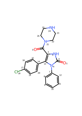 O=C(c1[nH]c(=O)n(-c2ccccc2)c1-c1ccc(Cl)cc1)N1CCNCC1